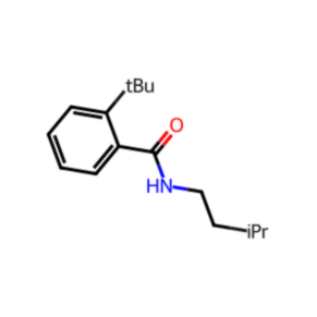 CC(C)CCNC(=O)c1ccccc1C(C)(C)C